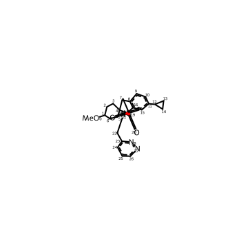 COC1CCC2(CC1)Cc1ccc(C3CC3)cc1C21NC(=O)N(Cc2cccnn2)C1=O